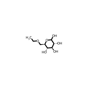 CCOC[C@H]1OC(O)[C@H](O)[C@@H](O)[C@@H]1O